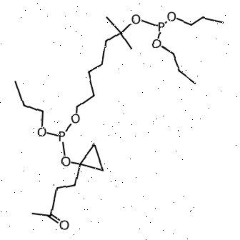 CCCOP(OCCC)OC(C)(C)CCCCCOP(OCCC)OC1(CCC(C)=O)CC1